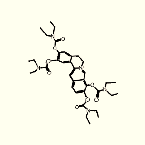 CCN(CC)C(=O)Oc1cc2c(cc1OC(=O)N(CC)CC)-c1cc3ccc(OC(=O)N(CC)CC)c(OC(=O)N(CC)CC)c3c[n+]1CC2